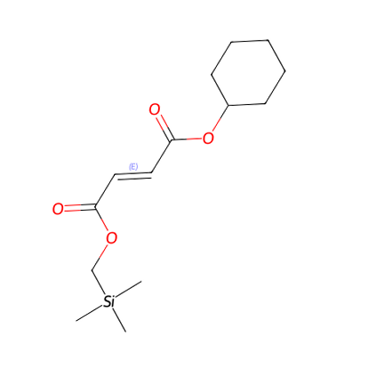 C[Si](C)(C)COC(=O)/C=C/C(=O)OC1CCCCC1